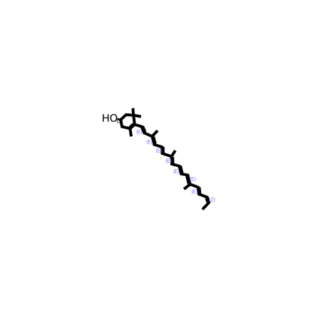 C\C=C/C=C/C(C)=C/C=C/C=C(C)/C=C/C=C(C)/C=C/C1=C(C)C[C@@H](O)CC1(C)C